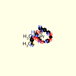 Cc1ncsc1-c1ccc([C@H](C)NC(=O)[C@@H]2C[C@@H](O)CN2C(=O)[C@H](c2cc(OCCN3CCC(OC4CC(Oc5ccc(-c6ccc7c8cnccc8n(C)c7c6)cn5)C4)CC3)no2)C(C)C)cc1